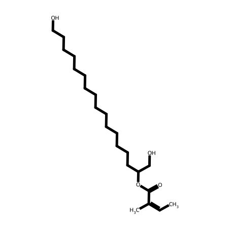 CC=C(C)C(=O)OC(CO)CCCCCCCCCCCCCCCO